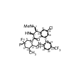 CN/C=C(\C(=N)C(=O)N1CC(F)(F)CC(C)C1CNc1ccc(C(F)(F)F)cn1)c1cccc(Cl)c1